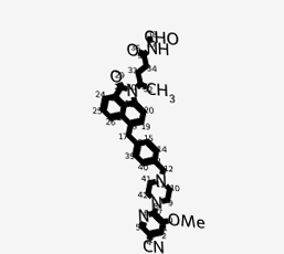 COc1cc(C#N)cnc1N1CCN(Cc2ccc(Cc3ccc4c5c(cccc35)C(=O)N4C(C)CCC(=O)NC=O)cc2)CC1